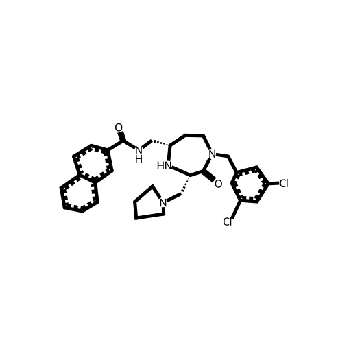 O=C(NC[C@@H]1CCN(Cc2cc(Cl)cc(Cl)c2)C(=O)[C@H](CN2CCCC2)N1)c1ccc2ccccc2c1